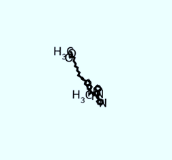 COC(=O)CCCCCCCCC#Cc1ccc2c(c1)CC(N(C)c1nc(-c3cccnc3)nc3ccccc13)C2